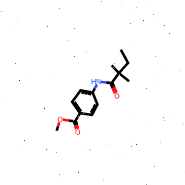 CCC(C)(C)C(=O)Nc1ccc(C(=O)OC)cc1